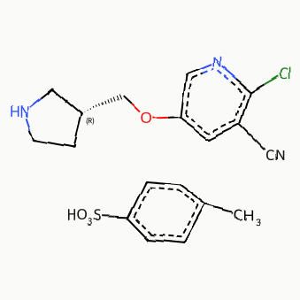 Cc1ccc(S(=O)(=O)O)cc1.N#Cc1cc(OC[C@@H]2CCNC2)cnc1Cl